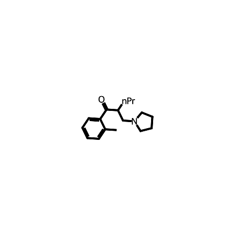 CCCC(CN1CCCC1)C(=O)c1ccccc1C